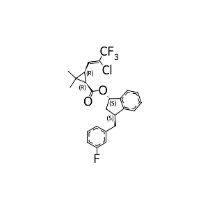 CC1(C)[C@H](C(=O)O[C@H]2C[C@H](Cc3cccc(F)c3)c3ccccc32)[C@@H]1C=C(Cl)C(F)(F)F